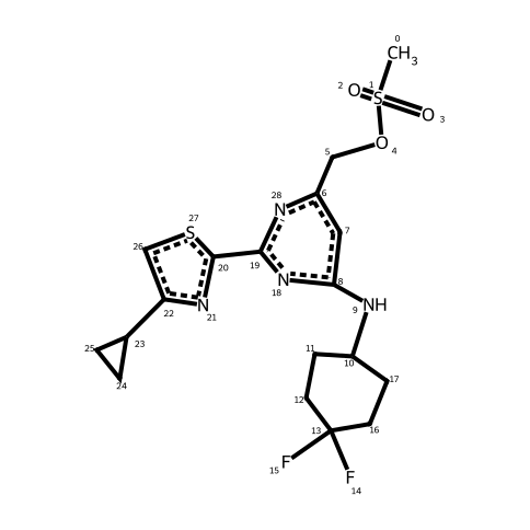 CS(=O)(=O)OCc1cc(NC2CCC(F)(F)CC2)nc(-c2nc(C3CC3)cs2)n1